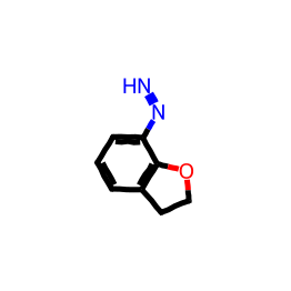 N=Nc1cccc2c1OCC2